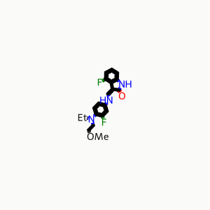 CCN(CCOC)c1ccc(NC=C2C(=O)Nc3cccc(F)c32)cc1F